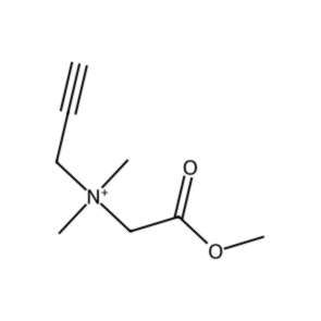 C#CC[N+](C)(C)CC(=O)OC